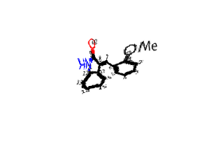 COc1ccccc1C=C1C(=O)Nc2ccccc21